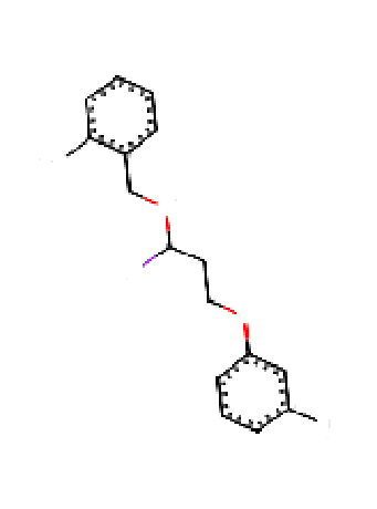 COc1ccccc1COC(I)CCOc1cccc(C)c1